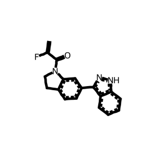 C=C(F)C(=O)N1CCc2ccc(-c3n[nH]c4ccccc34)cc21